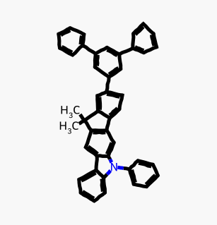 CC1(C)c2cc(-c3cc(-c4ccccc4)cc(-c4ccccc4)c3)ccc2-c2cc3c(cc21)c1ccccc1n3-c1ccccc1